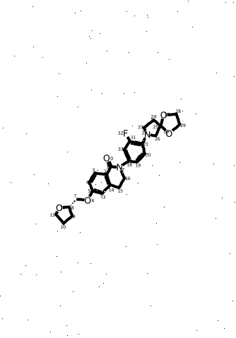 O=C1c2ccc(OC[C@@H]3CCCO3)cc2CCN1c1ccc(N2CCC3(C2)OCCO3)c(F)c1